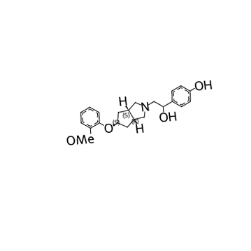 COc1ccccc1O[C@H]1C[C@@H]2CN(CC(O)c3ccc(O)cc3)C[C@@H]2C1